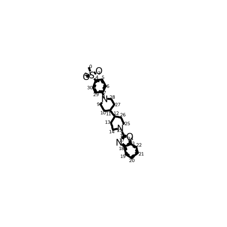 CS(=O)(=O)c1ccc(N2CCC(C3CCN(c4nc5ccccc5o4)CC3)CC2)cc1